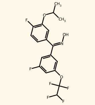 CC(C)Oc1cc(/C(=N\O)c2cc(F)cc(OC(F)(F)C(F)F)c2)ccc1F